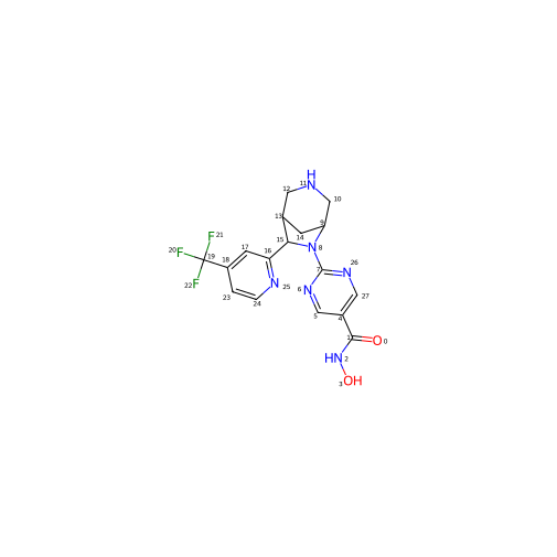 O=C(NO)c1cnc(N2C3CNCC(C3)C2c2cc(C(F)(F)F)ccn2)nc1